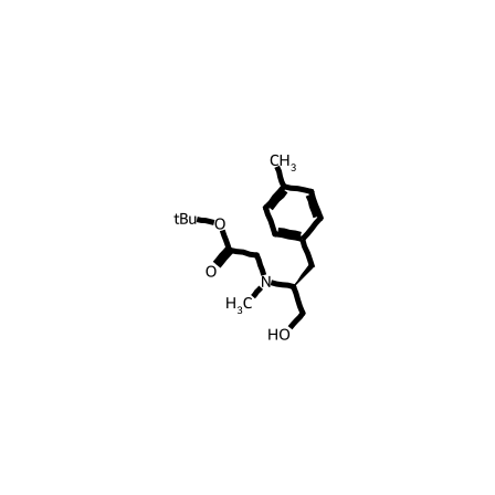 Cc1ccc(C[C@@H](CO)N(C)CC(=O)OC(C)(C)C)cc1